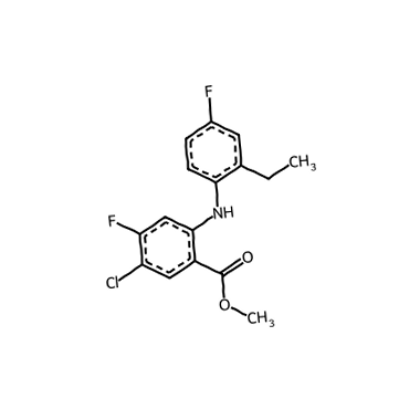 CCc1cc(F)ccc1Nc1cc(F)c(Cl)cc1C(=O)OC